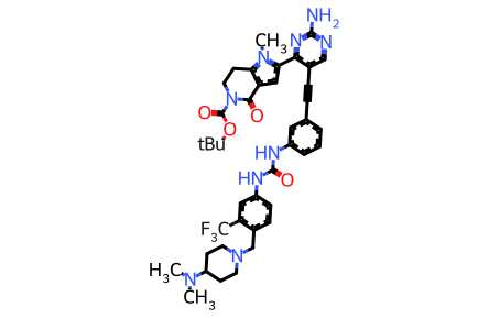 CN(C)C1CCN(Cc2ccc(NC(=O)Nc3cccc(C#Cc4cnc(N)nc4-c4cc5c(n4C)CCN(C(=O)OC(C)(C)C)C5=O)c3)cc2C(F)(F)F)CC1